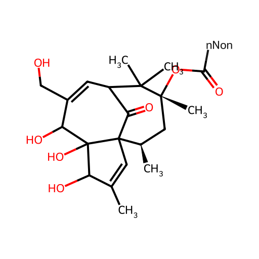 CCCCCCCCCC(=O)O[C@]1(C)C[C@@H](C)C23C=C(C)C(O)C2(O)C(O)C(CO)=CC(C3=O)C1(C)C